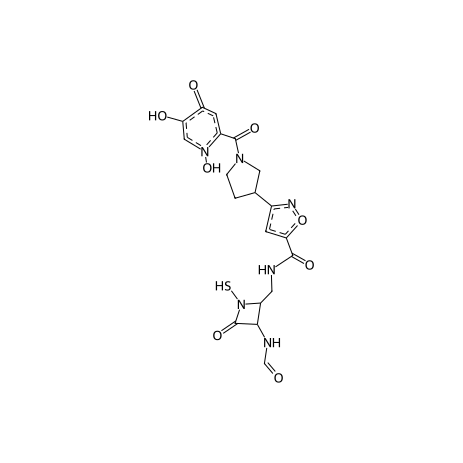 O=CNC1C(=O)N(S)C1CNC(=O)c1cc(C2CCN(C(=O)c3cc(=O)c(O)cn3O)C2)no1